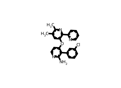 Cc1cc(Oc2ccnc(N)c2-c2cccc(Cl)c2)c(-c2ccccn2)nc1C